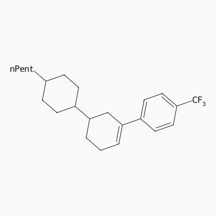 CCCCCC1CCC(C2CCC=C(c3ccc(C(F)(F)F)cc3)C2)CC1